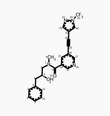 CN(C[C@@H](O)Cc1ccccc1)C(=O)c1cncc(C#Cc2cnn(C(F)(F)F)c2)c1